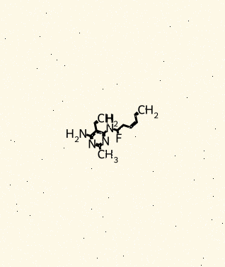 C=C/C=C\CC(F)Nc1nc(C)nc(N)c1C=C